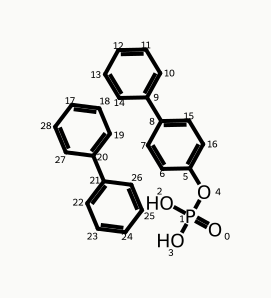 O=P(O)(O)Oc1ccc(-c2ccccc2)cc1.c1ccc(-c2ccccc2)cc1